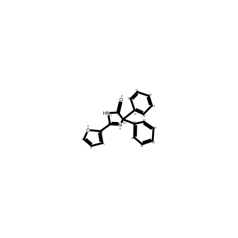 O=C1NC(c2ccco2)=NC1(c1ccccc1)c1ccccc1